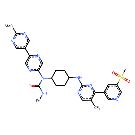 CCNC(=O)N(c1cnc(-c2cnc(OC)nc2)cn1)C1CCC(Nc2ncc(C(F)(F)F)c(-c3cncc(S(C)(=O)=O)c3)n2)CC1